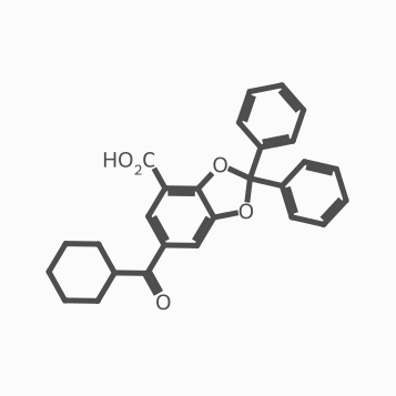 O=C(O)c1cc(C(=O)C2CCCCC2)cc2c1OC(c1ccccc1)(c1ccccc1)O2